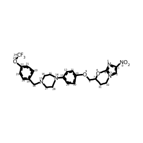 O=[N+]([O-])c1cn2c(n1)OC(COc1ccc(N3CCN(Cc4ccc(OC(F)(F)F)cc4)CC3)cc1)CC2